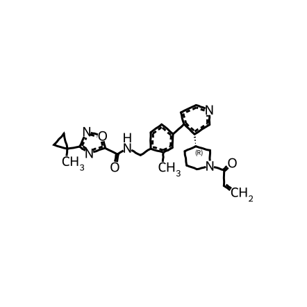 C=CC(=O)N1CCC[C@H](c2cnccc2-c2ccc(CNC(=O)c3nc(C4(C)CC4)no3)c(C)c2)C1